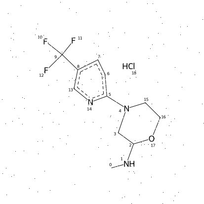 CNC1CN(c2ccc(C(F)(F)F)cn2)CCO1.Cl